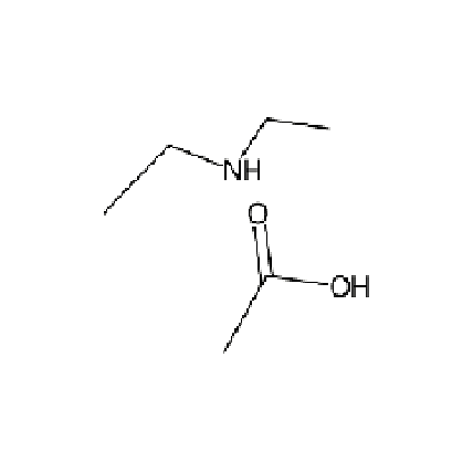 CC(=O)O.CCNCC